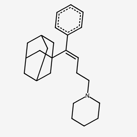 C(/CCN1CCCCC1)=C(\c1ccccc1)C12CC3CC(CC(C3)C1)C2